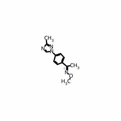 CO/N=C(\C)c1ccc(-n2cnc(C)n2)cc1